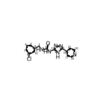 O=C(NCc1cccc(Cl)c1)Nc1nnc(-c2ccncc2)[nH]1